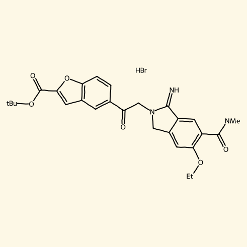 Br.CCOc1cc2c(cc1C(=O)NC)C(=N)N(CC(=O)c1ccc3oc(C(=O)OC(C)(C)C)cc3c1)C2